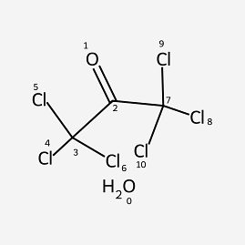 O.O=C(C(Cl)(Cl)Cl)C(Cl)(Cl)Cl